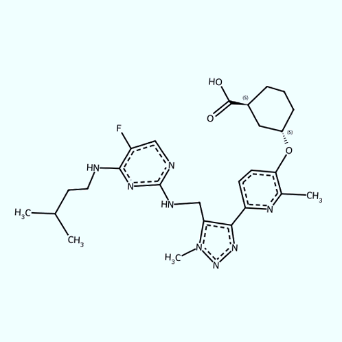 Cc1nc(-c2nnn(C)c2CNc2ncc(F)c(NCCC(C)C)n2)ccc1O[C@H]1CCC[C@H](C(=O)O)C1